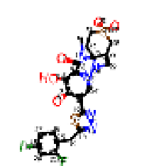 CN1C(=O)c2c(O)c(=O)c(-c3nnc(Cc4ccc(F)cc4F)s3)cn2N2C=C3CS(=O)(=O)CCC312